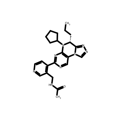 CCC[C@@H]1c2nncn2-c2cnc(-c3ccncc3CNC(C)=O)nc2N1C1CCCC1